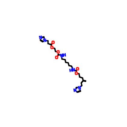 C=C(CCCOC(=O)NCCCCCCNC(=O)OCCOC(=O)CCn1ccnc1)CCn1ccnc1